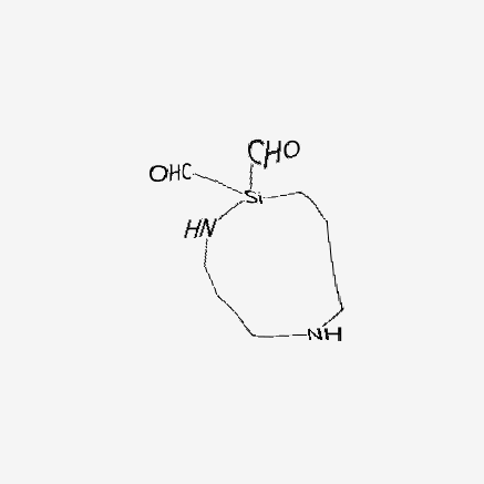 O=C[Si]1(C=O)CCCNCCN1